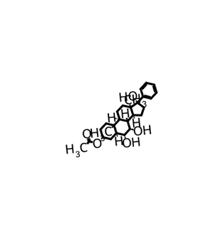 CC(=O)O[C@H]1CC[C@@]2(C)[C@H](C1)[C@@H](O)[C@H](O)[C@@H]1[C@@H]2CC[C@@]2(C)[C@H]1CC[C@@]2(O)c1ccccc1